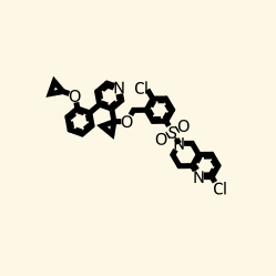 O=S(=O)(c1ccc(Cl)c(COC2(c3cnccc3-c3ccccc3OC3CC3)CC2)c1)N1CCc2nc(Cl)ccc2C1